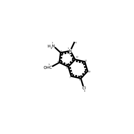 Cn1c(N)c(C=O)c2cc(Cl)ccc21